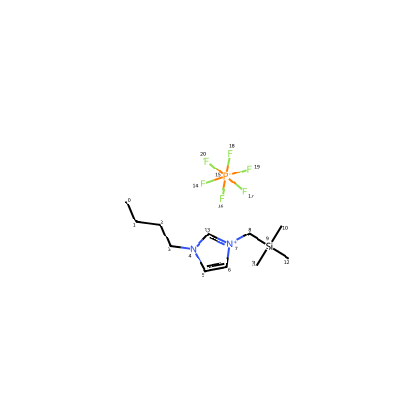 CCCCn1cc[n+](C[Si](C)(C)C)c1.F[P-](F)(F)(F)(F)F